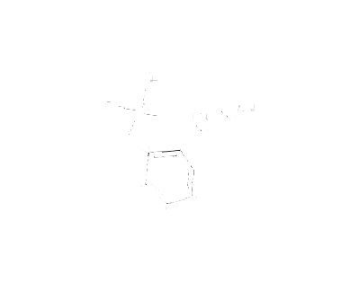 O=P(O)(O)Oc1ccccc1.[NaH].[NaH].[NaH].[NaH]